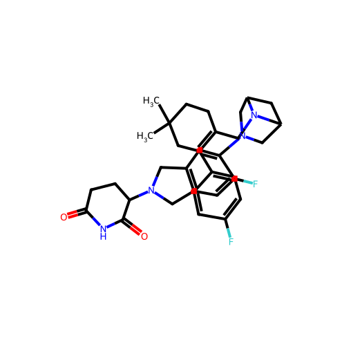 CC1(C)CCC(CN2C3CC2CN(c2cc4c(cc2F)CN(C2CCC(=O)NC2=O)C4)C3)=C(c2ccc(F)cc2)C1